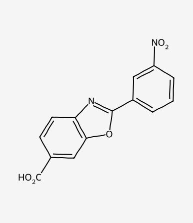 O=C(O)c1ccc2nc(-c3cccc([N+](=O)[O-])c3)oc2c1